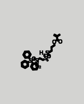 C=C(C)C(=O)OCCC[SiH2]O[Si](C)(C)CC[SiH2]O[Si](c1ccccc1)(c1ccccc1)c1ccccc1